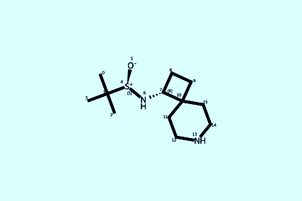 CC(C)(C)[S@@+]([O-])N[C@@H]1CCC12CCNCC2